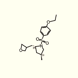 CCOc1ccc(S(=O)(=O)N2C[C@@H](C)C[C@@H]2CC2COC2)cc1